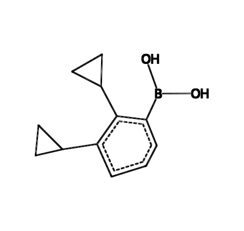 OB(O)c1cccc(C2CC2)c1C1CC1